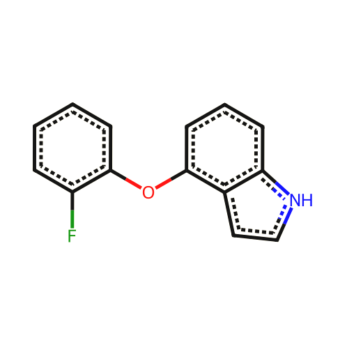 Fc1ccccc1Oc1cccc2[nH]ccc12